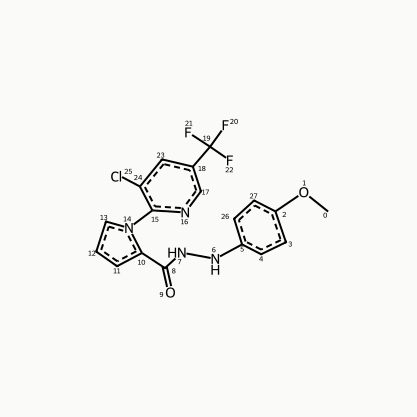 COc1ccc(NNC(=O)c2cccn2-c2ncc(C(F)(F)F)cc2Cl)cc1